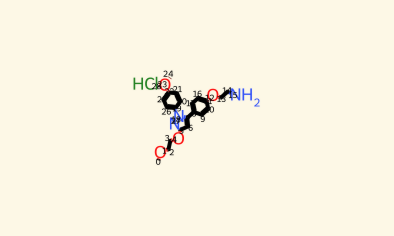 COCCOc1cc(-c2ccc(OCCN)cc2)n(-c2ccc(OC)cc2)n1.Cl